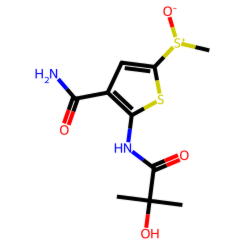 C[S+]([O-])c1cc(C(N)=O)c(NC(=O)C(C)(C)O)s1